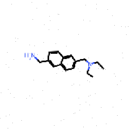 CCN(CC)Cc1ccc2cc(CN)ccc2c1